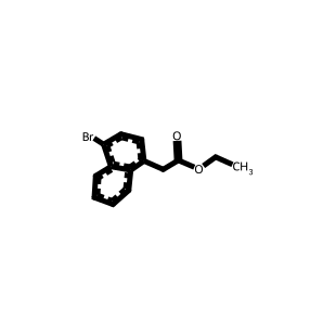 CCOC(=O)Cc1ccc(Br)c2ccccc12